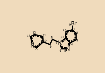 Brc1ccc2ncn(CCc3cccnc3)c2c1